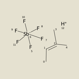 CC=C(C)C.[F][Sb-]([F])([F])([F])([F])[F].[H+]